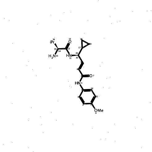 COc1ccc(NC(=O)C=C[C@@H](NC(=O)[C@@H](N)C(C)C)C2CC2)cc1